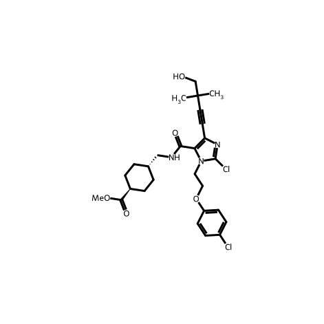 COC(=O)[C@H]1CC[C@H](CNC(=O)c2c(C#CC(C)(C)CO)nc(Cl)n2CCOc2ccc(Cl)cc2)CC1